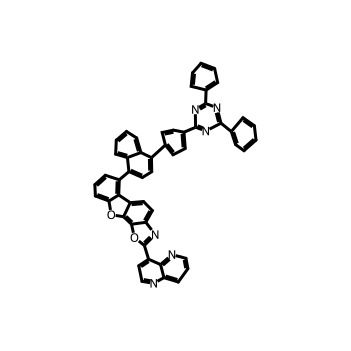 c1ccc(-c2nc(-c3ccccc3)nc(-c3ccc(-c4ccc(-c5cccc6oc7c(ccc8nc(-c9ccnc%10cccnc9%10)oc87)c56)c5ccccc45)cc3)n2)cc1